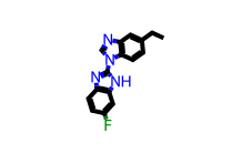 CCc1ccc2c(c1)ncn2-c1nc2ccc(F)cc2[nH]1